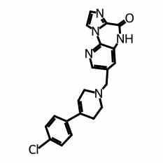 O=c1[nH]c2cc(CN3CC=C(c4ccc(Cl)cc4)CC3)cnc2n2ccnc12